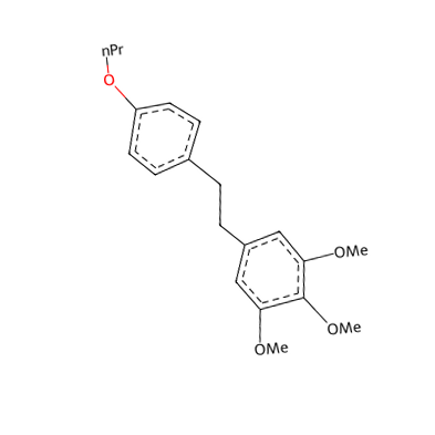 CCCOc1ccc(CCc2cc(OC)c(OC)c(OC)c2)cc1